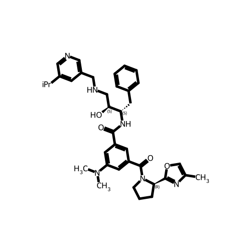 Cc1coc([C@H]2CCCN2C(=O)c2cc(C(=O)N[C@@H](Cc3ccccc3)[C@@H](O)CNCc3cncc(C(C)C)c3)cc(N(C)C)c2)n1